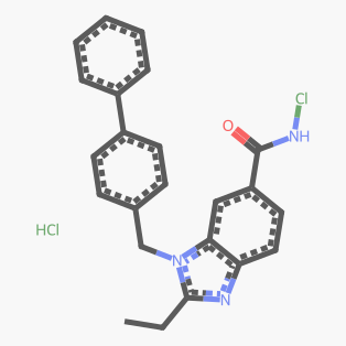 CCc1nc2ccc(C(=O)NCl)cc2n1Cc1ccc(-c2ccccc2)cc1.Cl